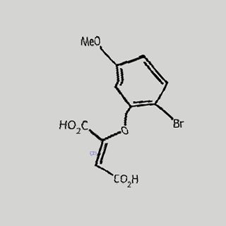 COc1ccc(Br)c(O/C(=C\C(=O)O)C(=O)O)c1